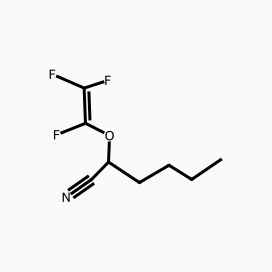 CCCCC(C#N)OC(F)=C(F)F